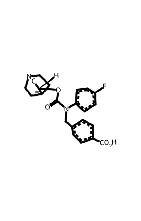 O=C(O)c1ccc(CN(C(=O)O[C@H]2CN3CCC2CC3)c2ccc(F)cc2)cc1